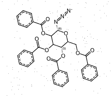 [N-]=[N+]=N[C@@H]1OC(COC(=O)c2ccccc2)[C@H](OC(=O)c2ccccc2)C(OC(=O)c2ccccc2)C1OC(=O)c1ccccc1